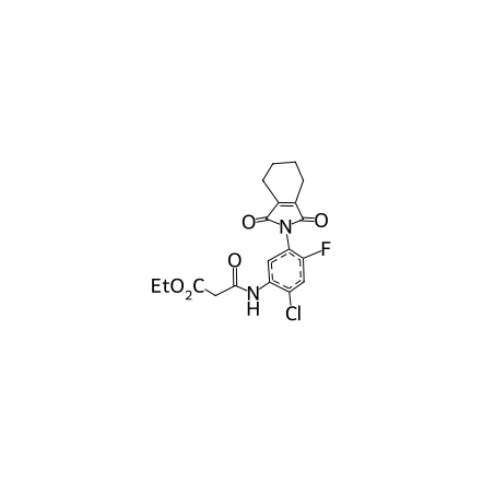 CCOC(=O)CC(=O)Nc1cc(N2C(=O)C3=C(CCCC3)C2=O)c(F)cc1Cl